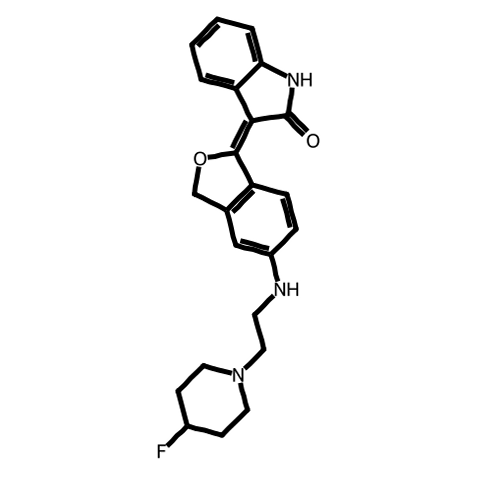 O=C1Nc2ccccc2/C1=C1\OCc2cc(NCCN3CCC(F)CC3)ccc21